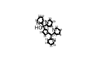 OC(C1=CC(=C(c2ccccn2)c2ccccn2)C=C1)(c1ccccn1)c1ccccn1